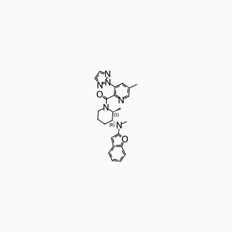 Cc1cnc(C(=O)N2CCC[C@@H](N(C)c3cc4ccccc4o3)[C@@H]2C)c(-n2nccn2)c1